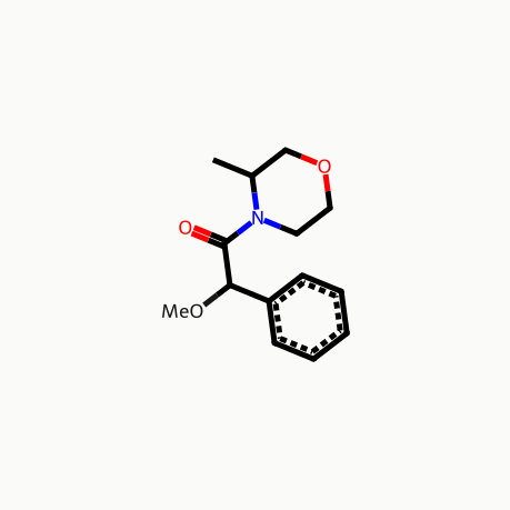 COC(C(=O)N1CCOCC1C)c1ccccc1